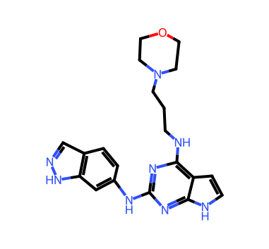 c1cc2c(NCCCN3CCOCC3)nc(Nc3ccc4cn[nH]c4c3)nc2[nH]1